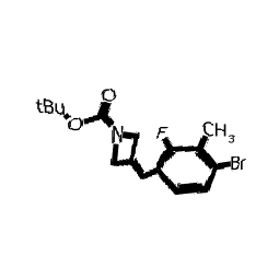 Cc1c(Br)ccc(C=C2CN(C(=O)OC(C)(C)C)C2)c1F